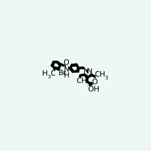 CCc1nn(Cc2ccc(NC(=O)c3cccc(C)c3Br)cc2)c(CC)c1CC(=O)O